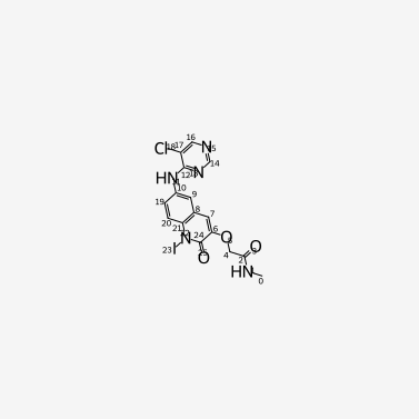 CNC(=O)COc1cc2cc(Nc3ncncc3Cl)ccc2n(I)c1=O